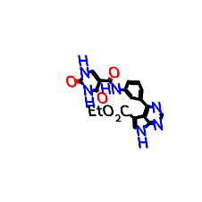 CCOC(=O)c1c[nH]c2ncnc(-c3cccc(NC(=O)c4c[nH]c(=O)[nH]c4=O)c3)c12